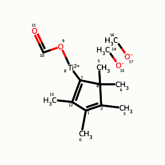 CC1=C(C)C(C)(C)[C]([Ti+2][O]C=O)=C1C.C[O-].C[O-]